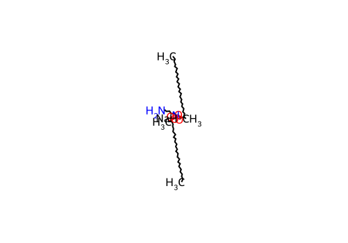 CCCCCCCCCCCCCCCCCCCCCCCCC(C)C(=O)ON(CCCCCN)OC(=O)C(C)CCCCCCCCCCCCCCCCCCCCCCCC.[NaH]